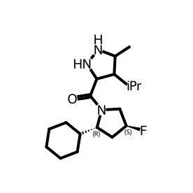 CC(C)C1C(C)NNC1C(=O)N1C[C@@H](F)C[C@@H]1C1CCCCC1